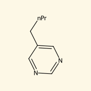 CCCCc1cncnc1